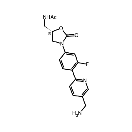 CC(=O)NC[C@H]1CN(c2ccc(-c3ccc(CN)cn3)c(F)c2)C(=O)O1